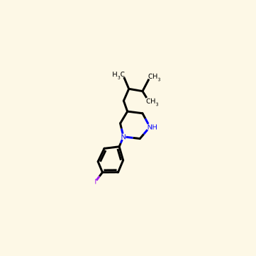 CC(C)C(C)CC1CNCN(c2ccc(I)cc2)C1